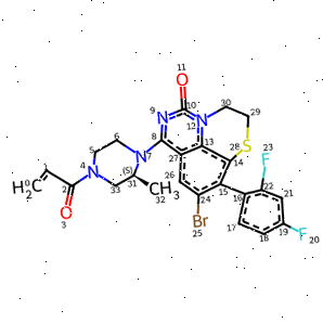 C=CC(=O)N1CCN(c2nc(=O)n3c4c(c(-c5ccc(F)cc5F)c(Br)cc24)SCC3)[C@@H](C)C1